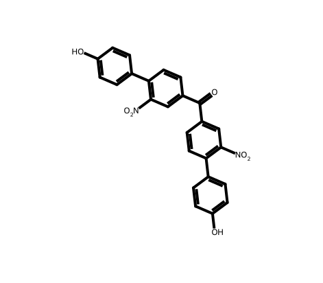 O=C(c1ccc(-c2ccc(O)cc2)c([N+](=O)[O-])c1)c1ccc(-c2ccc(O)cc2)c([N+](=O)[O-])c1